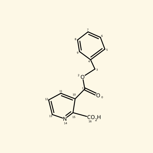 O=C(OCc1ccccc1)c1cccnc1C(=O)O